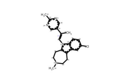 C/C(=C\n1c2c(c3cc(Cl)ccc31)CCN(C)CC2)c1cnc(C)nc1